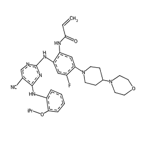 C=CC(=O)Nc1cc(N2CCC(N3CCOCC3)CC2)c(F)cc1Nc1ncc(C#N)c(Nc2ccccc2OC(C)C)n1